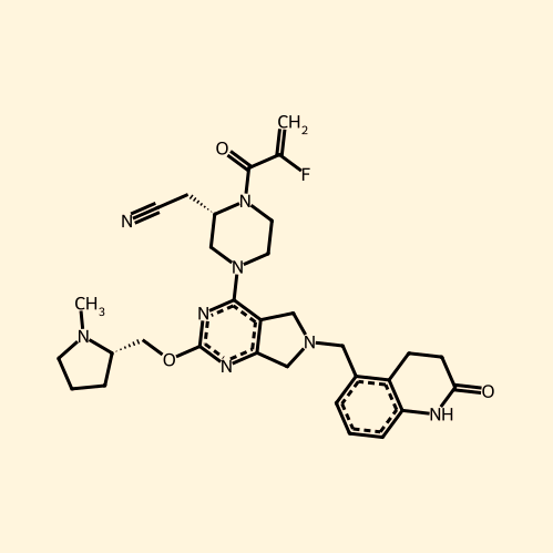 C=C(F)C(=O)N1CCN(c2nc(OC[C@@H]3CCCN3C)nc3c2CN(Cc2cccc4c2CCC(=O)N4)C3)C[C@@H]1CC#N